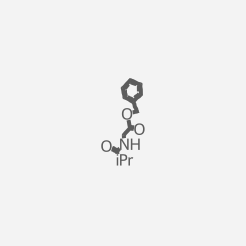 CC(C)C(=O)NCC(=O)OCc1ccccc1